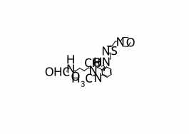 Cc1nc2cccc(NCc3ncc(CN4CCOCC4)s3)c2c(=O)n1C(C)CCC(=O)NC=O